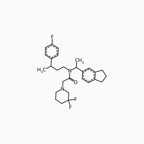 CC(CCN(C(=O)CN1CCCC(F)(F)C1)C(C)c1ccc2c(c1)CCC2)c1ccc(F)cc1